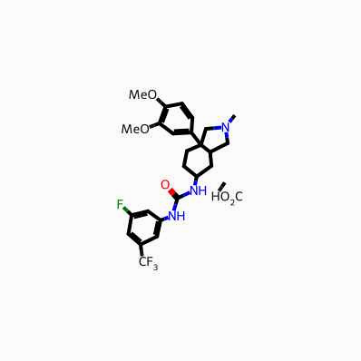 CC(=O)O.COc1ccc(C23CCC(NC(=O)Nc4cc(F)cc(C(F)(F)F)c4)CC2CN(C)C3)cc1OC